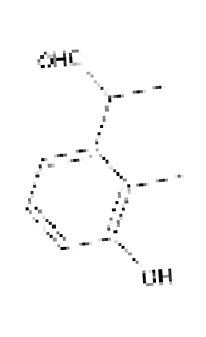 Cc1c(O)cccc1C(C)C=O